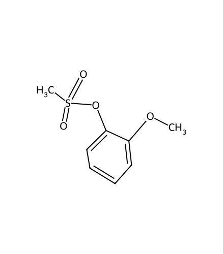 COc1ccccc1OS(C)(=O)=O